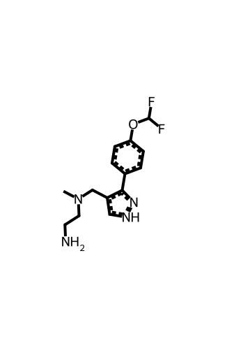 CN(CCN)Cc1c[nH]nc1-c1ccc(OC(F)F)cc1